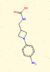 Nc1ccc(N2CC(CNC(=O)O)C2)cc1